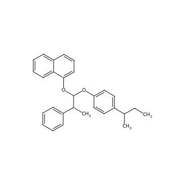 CCC(C)c1ccc(OC(Oc2cccc3ccccc23)C(C)c2ccccc2)cc1